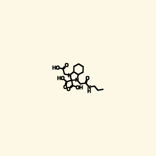 CCCNC(=O)CN1C2CCCCC2N(CC(=O)O)C1(C(=O)O)C(=O)O